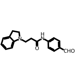 O=Cc1ccc(NC(=O)CCN2CCc3ccccc32)cc1